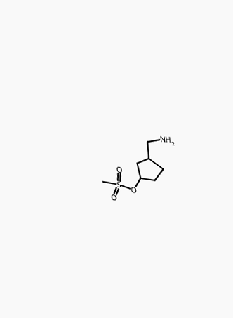 CS(=O)(=O)OC1CCC(CN)C1